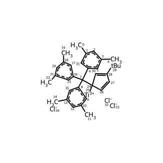 Cc1cc(C)cc(C(c2cc(C)cc(C)c2)(c2cc(C)cc(C)c2)[C]2([Ti+3])C=CC(C(C)(C)C)=C2)c1.[Cl-].[Cl-].[Cl-]